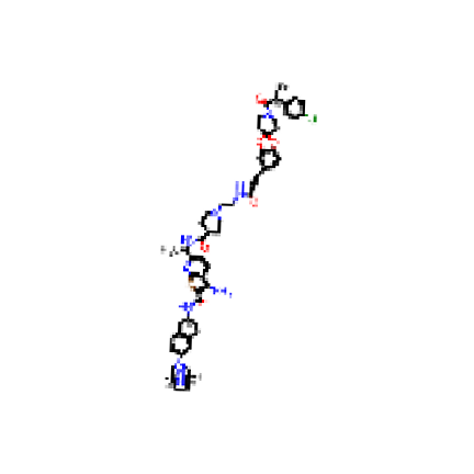 CC(NC(=O)C1CCN(CCNC(=O)C#Cc2ccc3c(c2)OC2(CCN(C(=O)[C@H](c4ccc(Cl)cc4)C(C)C)CC2)O3)CC1)c1ccc2c(N)c(C(=O)N[C@H]3CCc4cc(N5C[C@H]6CC[C@@H](C5)N6)ccc4C3)sc2n1